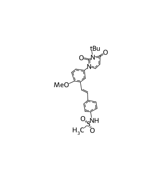 COc1ccc(-n2ccc(=O)n(C(C)(C)C)c2=O)cc1/C=C/c1ccc(NS(C)(=O)=O)cc1